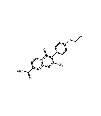 CNC(=O)c1ccn2c(=O)c(-c3ccc(OCC(F)(F)F)cc3)c(C(F)(F)F)nc2c1